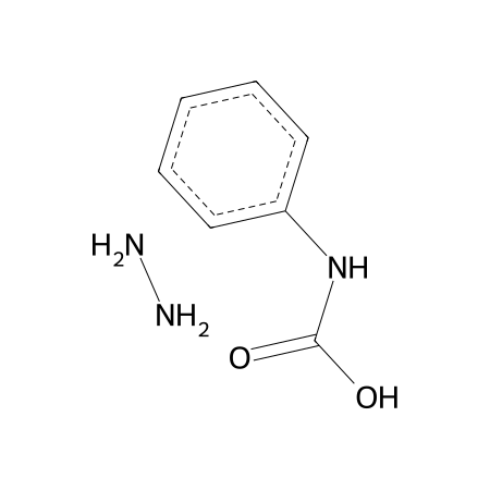 NN.O=C(O)Nc1ccccc1